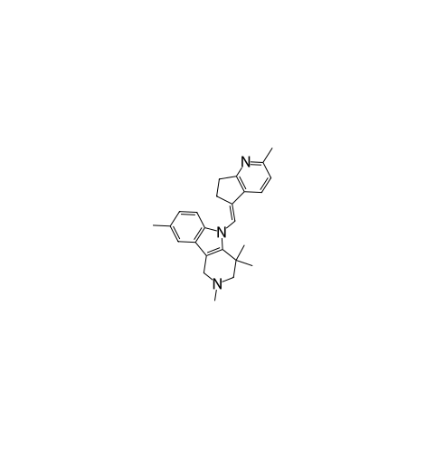 Cc1ccc2c(c1)c1c(n2/C=C2\CCc3nc(C)ccc32)C(C)(C)CN(C)C1